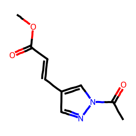 COC(=O)C=Cc1cnn(C(C)=O)c1